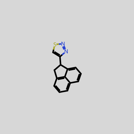 c1cc2c3c(cccc3c1)C(c1csnn1)C2